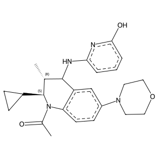 CC(=O)N1c2ccc(N3CCOCC3)cc2C(Nc2cccc(O)n2)[C@@H](C)[C@@H]1C1CC1